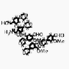 COC(=O)c1cc(N2CCOCC2)ccc1O.COc1cc(N2CCOCC2)c(C=O)cc1C=O.COc1cc(N2CCOCC2)ccc1C=O.NN=Cc1ccc(N2CCOCC2)cc1O.ON=Cc1ccc(N2CCOCC2)cc1O